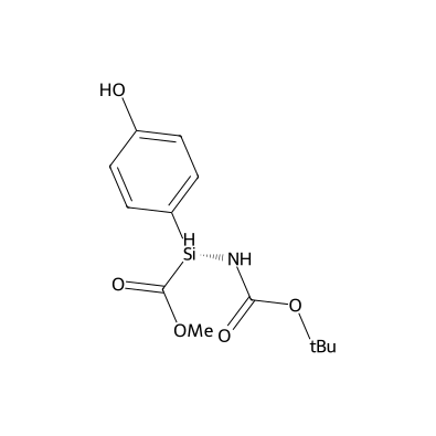 COC(=O)[Si@@H](NC(=O)OC(C)(C)C)c1ccc(O)cc1